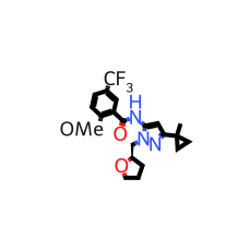 COc1ccc(C(F)(F)F)cc1C(=O)Nc1cc(C2(C)CC2)nn1C[C@H]1CCCO1